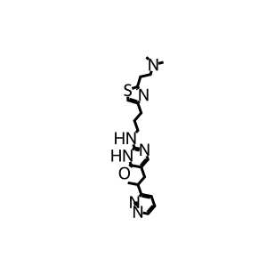 CC(Cc1cnc(NCCCc2csc(CCN(C)C)n2)[nH]c1=O)c1cccnn1